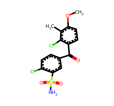 COc1ccc(C(=O)c2ccc(Cl)c(S(N)(=O)=O)c2)c(Cl)c1C